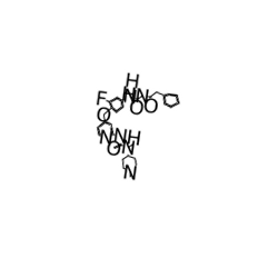 CN1CCC(N(C)C(=O)Nc2cc(Oc3ccc(NC(=O)NC(=O)Cc4ccccc4)cc3F)ccn2)CC1